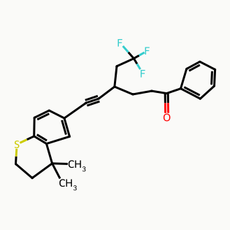 CC1(C)CCSc2ccc(C#CC(CCC(=O)c3ccccc3)CC(F)(F)F)cc21